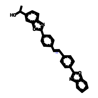 CC(O)c1ccc2nc(-c3ccc(/C=C/c4ccc(-c5nc6ccccc6o5)cc4)cc3)oc2c1